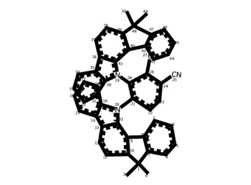 CC1(C)c2ccccc2-c2c1ccc1c3ccccc3n(-c3ccc(C#N)c(C#N)c3-n3c4ccccc4c4ccc5c(c43)-c3ccccc3C5(C)C)c21